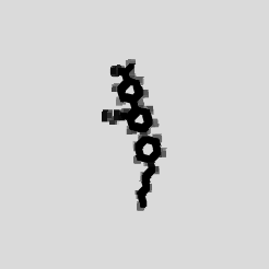 CCCCC[C@H]1CC[C@H](c2ccc(-c3ccc(C(C)=O)cc3)c(N)c2)CC1